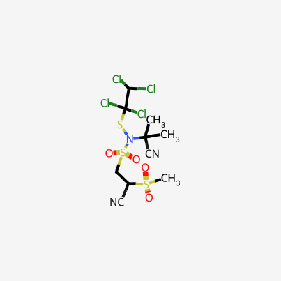 CC(C)(C#N)N(SC(Cl)(Cl)C(Cl)Cl)S(=O)(=O)CC(C#N)S(C)(=O)=O